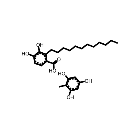 CCCCCCCCCCCCc1c(C(=O)O)ccc(O)c1O.Cc1c(O)cc(O)cc1O